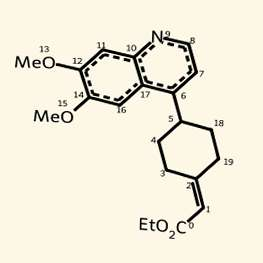 CCOC(=O)C=C1CCC(c2ccnc3cc(OC)c(OC)cc23)CC1